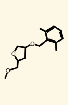 COCC1CC(OCc2c(C)cccc2C)CO1